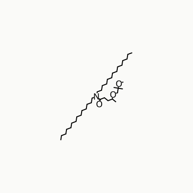 CCCCCCCCCCCCCCN(CCCCCCCCCCCCCC)C(=O)CCC(C)OCC(C)(C)OC